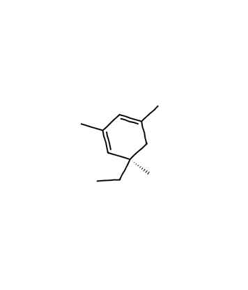 CC[C@@]1(C)C=C(C)C=C(C)C1